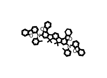 Cc1ccccc1N(c1cc2c(c3c4c(oc13)C=CCC4)-c1ccc3c(c1C2(C)C)C(C)(C)c1cc(N(c2ccccc2C)c2cccc4c2oc2ccccc24)c2oc4ccccc4c2c1-3)c1cccc2c1oc1ccccc12